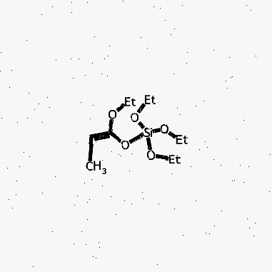 C/C=C(/OCC)O[Si](OCC)(OCC)OCC